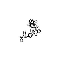 CC(=O)NCc1ccc(C(=O)N[C@H](C(=O)N2C[C@H](C)[C@H]3OCC(=O)[C@H]32)C2CCCC2)cc1